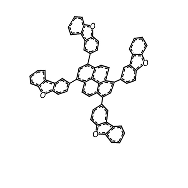 c1ccc2c(c1)oc1ccc(-c3cc(-c4ccc5oc6ccccc6c5c4)c4ccc5c(-c6ccc7oc8ccccc8c7c6)cc(-c6ccc7oc8ccccc8c7c6)c6ccc3c4c65)cc12